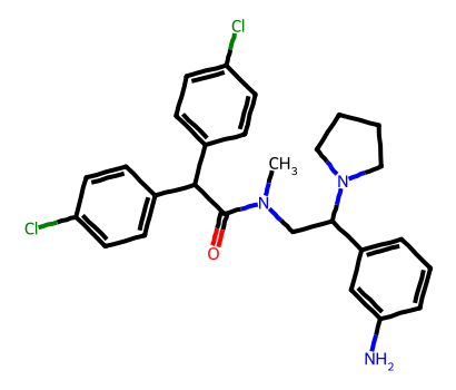 CN(CC(c1cccc(N)c1)N1CCCC1)C(=O)C(c1ccc(Cl)cc1)c1ccc(Cl)cc1